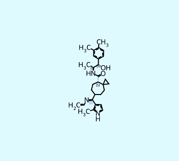 C=C/N=C(\c1cc[nH]c1C)C1CC[C@H](C(=O)N[C@@H](C)[C@@H](O)c2ccc(C)c(C)c2)C2(CC1)CC2